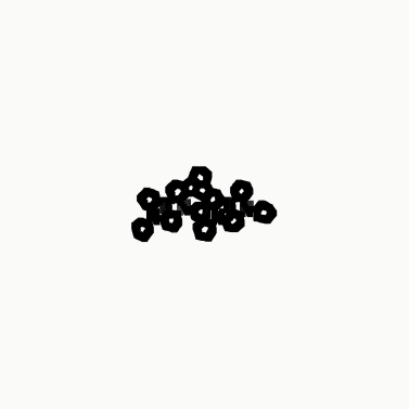 c1ccc(N2c3ccccc3B3c4cc5c(cc4N(c4ccccc4)c4cccc2c43)C2c3c-5cccc3-c3ccc4c(c32)N(c2ccccc2)c2cccc3c2B4c2ccccc2N3c2ccccc2)cc1